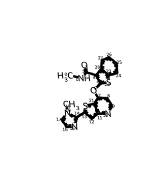 CNC(=O)c1c(Oc2ccnc3cc(-c4nccn4C)sc23)sc2ccccc12